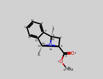 CCCCOC(=O)C12C[C@]3(C)c4ccccc4[C@@]1(C)N23